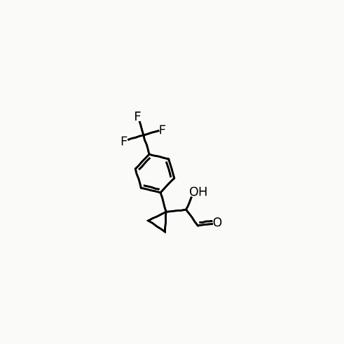 O=CC(O)C1(c2ccc(C(F)(F)F)cc2)CC1